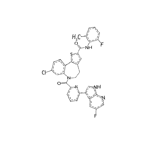 Cc1cccc(F)c1NC(=O)c1cc2c(s1)-c1ccc(Cl)cc1N(C(=O)c1cccc(-c3c[nH]c4ncc(F)cc34)n1)CC2